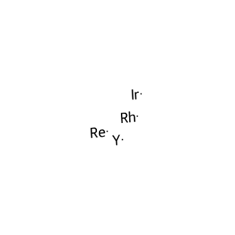 [Ir].[Re].[Rh].[Y]